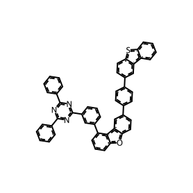 c1ccc(-c2nc(-c3ccccc3)nc(-c3cccc(-c4cccc5oc6ccc(-c7ccc(-c8ccc9sc%10ccccc%10c9c8)cc7)cc6c45)c3)n2)cc1